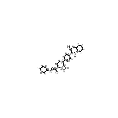 Nc1ccccc1NC(=O)c1ccc(N2CCN(C(=O)OCc3ccccc3)C3CCC32)nc1